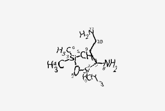 C[SiH](O[Si](C)(C)C)C(N)CCN